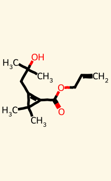 C=CCOC(=O)C1=C(CC(C)(C)O)C1(C)C